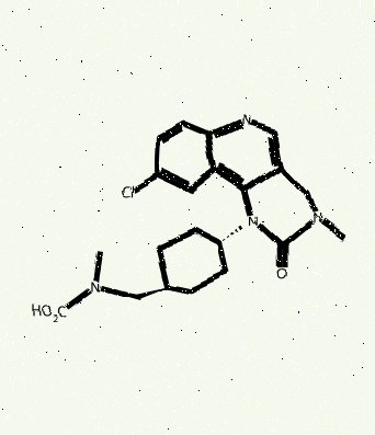 CN1Cc2cnc3ccc(Cl)cc3c2N([C@H]2CC[C@H](CN(C)C(=O)O)CC2)C1=O